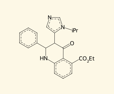 CCOC(=O)c1cccc2c1C(=O)C(c1cncn1C(C)C)C(c1ccccc1)N2